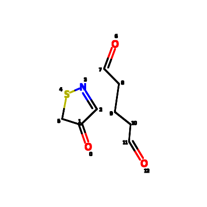 O=C1C=NSC1.O=CCCCC=O